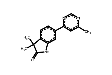 Cc1cc(-c2ccc3c(c2)NC(=O)C3(C)C)ncn1